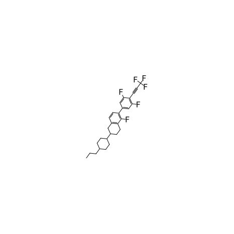 CCCC1CCC(C2CCc3c(ccc(-c4cc(F)c(C#CC(F)(F)F)c(F)c4)c3F)C2)CC1